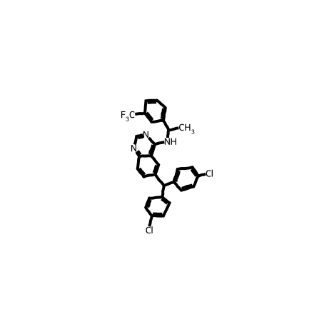 CC(Nc1ncnc2ccc(C(c3ccc(Cl)cc3)c3ccc(Cl)cc3)cc12)c1cccc(C(F)(F)F)c1